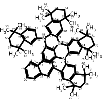 Cc1cc2c3c(c1)N(c1cc4c(cc1-c1ccc5ccccc5c1)C(C)(C)CCC4(C)C)c1cc4c(cc1B3c1cc3c(cc1N2c1ccc2c(c1)C(C)(C)CCC2(C)C)C(C)(C)CCC3(C)C)C(C)(C)CCC4(C)C